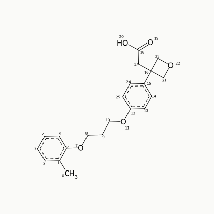 Cc1ccccc1OCCCOc1ccc(C2(CC(=O)O)COC2)cc1